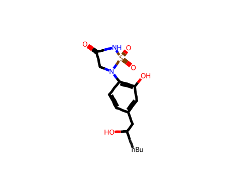 CCCCC(O)Cc1ccc(N2CC(=O)NS2(=O)=O)c(O)c1